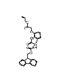 C=CCOC(=O)COc1cccc(C[C@@H](NC(=O)OCC2c3ccccc3-c3ccccc32)C(=O)O)c1